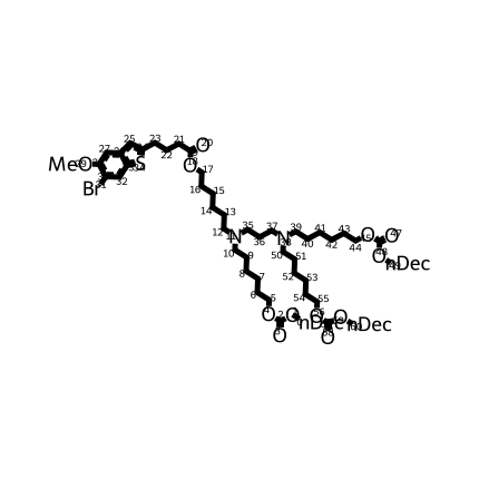 CCCCCCCCCCOC(=O)OCCCCCCN(CCCCCCOC(=O)CCCc1cc2cc(OC)c(Br)cc2s1)CCCN(CCCCCCOC(=O)OCCCCCCCCCC)CCCCCCOC(=O)OCCCCCCCCCC